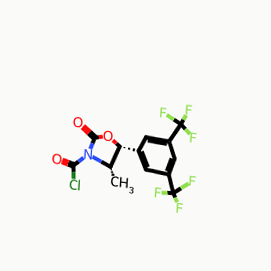 C[C@H]1[C@@H](c2cc(C(F)(F)F)cc(C(F)(F)F)c2)OC(=O)N1C(=O)Cl